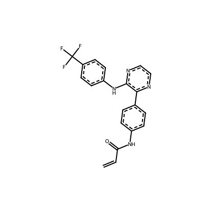 C=CC(=O)Nc1ccc(-c2nccnc2Nc2ccc(C(F)(F)F)cc2)cc1